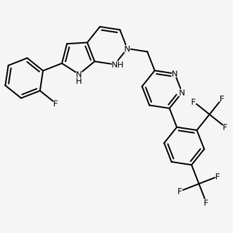 Fc1ccccc1-c1cc2c([nH]1)NN(Cc1ccc(-c3ccc(C(F)(F)F)cc3C(F)(F)F)nn1)C=C2